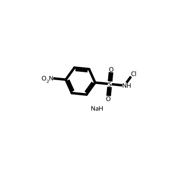 O=[N+]([O-])c1ccc(S(=O)(=O)NCl)cc1.[NaH]